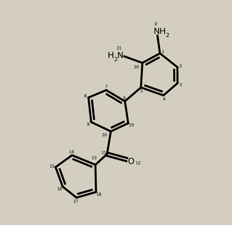 Nc1cccc(-c2cccc(C(=O)c3ccccc3)c2)c1N